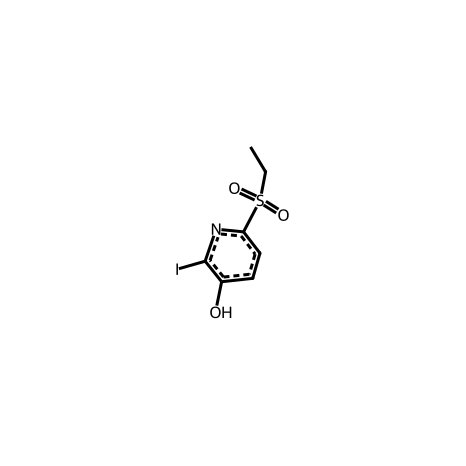 CCS(=O)(=O)c1ccc(O)c(I)n1